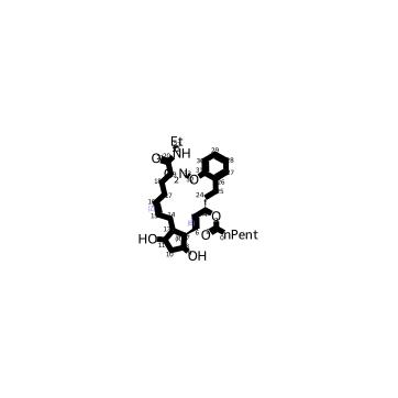 CCCCCC(=O)O[C@H](/C=C/[C@H]1C(O)CC(O)C1C/C=C\CCCC(=O)NCC)CCc1ccccc1O[N+](=O)[O-]